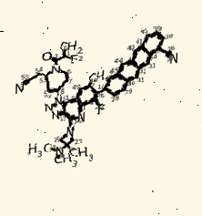 C=C(F)C(=O)N1CC[C@H](n2nnc3c(N4CC(C)(N(C)C)C4)nc4c(F)c(-c5ccc6cc7cc8c(C#N)cccc8cc7cc6c5)c(C)cc4c32)C[C@H]1CC#N